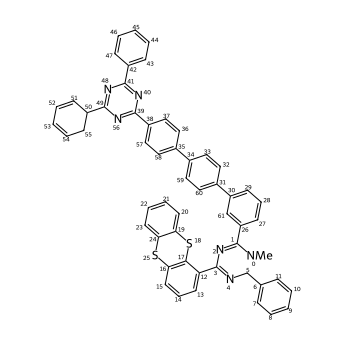 CN/C(=N\C(=N/Cc1ccccc1)c1cccc2c1Sc1ccccc1S2)c1cccc(-c2ccc(-c3ccc(-c4nc(-c5ccccc5)nc(C5C=CC=CC5)n4)cc3)cc2)c1